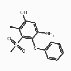 Cc1c(O)cc(N)c(Oc2ccccc2)c1S(C)(=O)=O